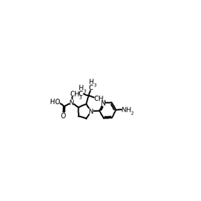 CN(C(=O)O)C1CCN(c2ccc(N)cn2)C1C(C)(C)C